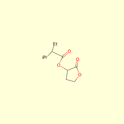 CCC(C(=O)OC1CCOC1=O)C(C)C